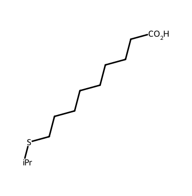 CC(C)SCCCCCCCCC(=O)O